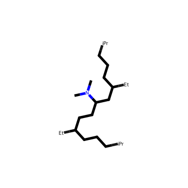 CCC(CCCC(C)C)CCC(CC(CC)CCCC(C)C)N(C)C